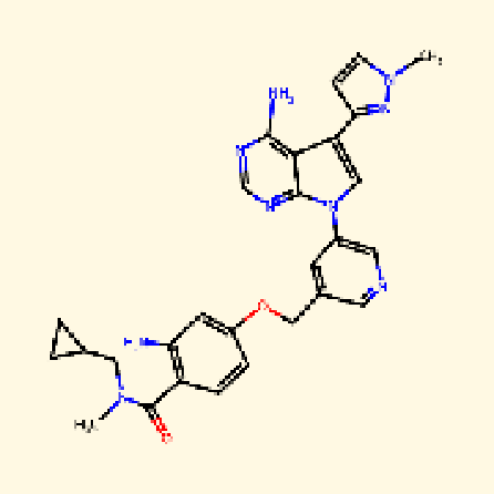 CN(CC1CC1)C(=O)c1ccc(OCc2cncc(-n3cc(-c4ccn(C)n4)c4c(N)ncnc43)c2)cc1N